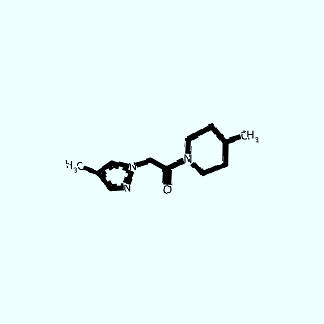 Cc1cnn(CC(=O)N2CCC(C)CC2)c1